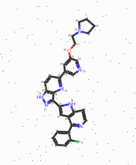 Fc1ccccc1-c1nccc2[nH]c(-c3n[nH]c4ccc(-c5cncc(OCCN6CCCC6)c5)nc34)cc12